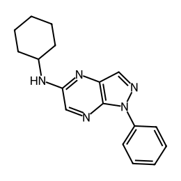 c1ccc(-n2ncc3nc(NC4CCCCC4)cnc32)cc1